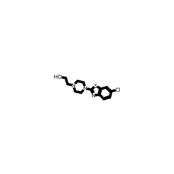 OCCN1CCN(c2nc3ccc(Cl)cc3s2)CC1